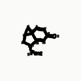 CCCC(C)N1CC2CC23C=CC(=O)C=C13